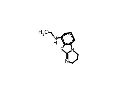 CCNc1cccc2c1SC1=NCCCN12